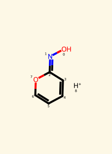 ON=c1cccco1.[H+]